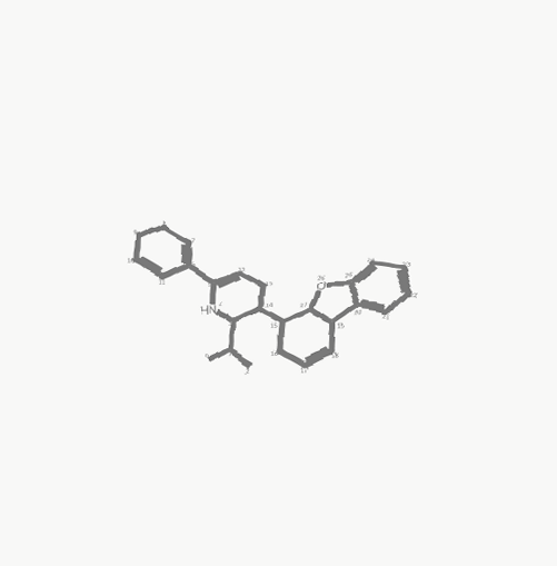 CC(C)C1NC(C2=CCCC=C2)=CCC1C1CC=CC2c3ccccc3OC21